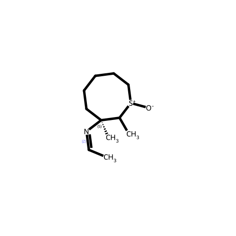 C/C=N\[C@@]1(C)CCCCC[S+]([O-])C1C